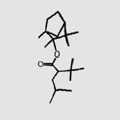 CC(C)CC(C(=O)OC1(C)C2(C)CCC(C2)C1(C)C)C(C)(C)C